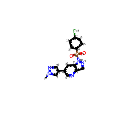 Cn1cc(-c2cnc3cnn(S(=O)(=O)c4ccc(F)cc4)c3c2)cn1